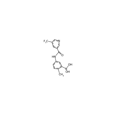 Cc1ccc(NC(=O)c2cncc(C(F)(F)F)c2)cc1B(O)O